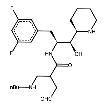 CCCCNCC(CC=O)C(=O)N[C@@H](Cc1cc(F)cc(F)c1)[C@H](O)[C@H]1CCCCN1